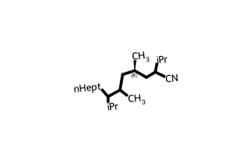 CCCCCCCC(C(C)C)C(C)C[C@@H](C)CC(C#N)C(C)C